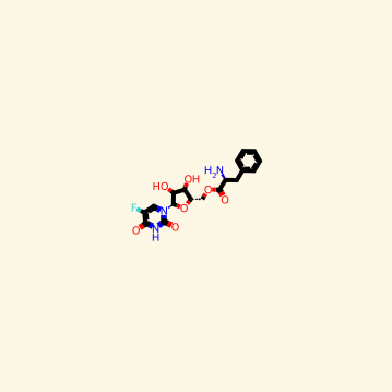 N[C@@H](Cc1ccccc1)C(=O)OC[C@@H]1O[C@H](n2cc(F)c(=O)[nH]c2=O)C(O)C1O